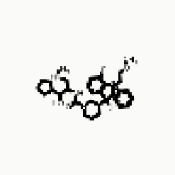 CNCC(NC(=O)N1CCCC(C(O)(CCCCOC)c2cccc(F)c2Oc2ccccc2)C1)C(O)C1CCCC1